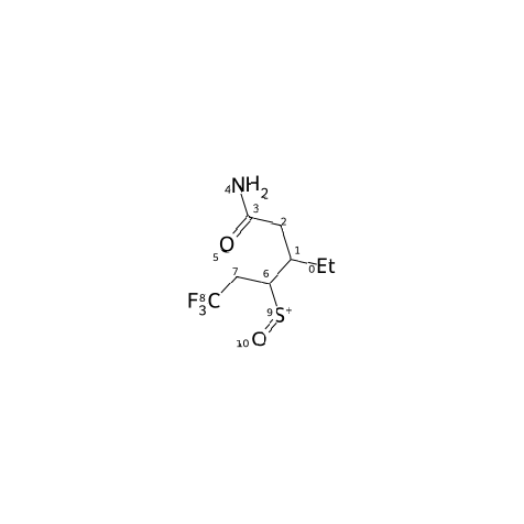 CCC(CC(N)=O)C(CC(F)(F)F)[S+]=O